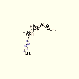 CC/C=C\C/C=C\C/C=C\C/C=C\C/C=C\CCCC(=O)NC(N)c1ccc(NCc2nc3cc(C(=O)CCCC(=O)OCC)ccc3n2C)cc1